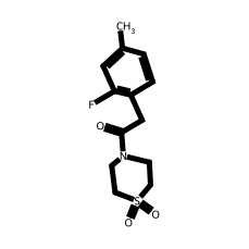 Cc1ccc(CC(=O)N2CCS(=O)(=O)CC2)c(F)c1